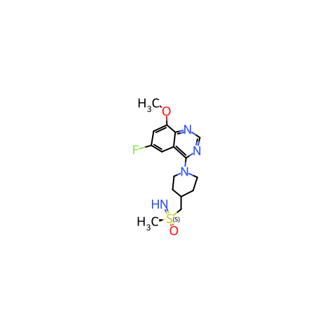 COc1cc(F)cc2c(N3CCC(C[S@@](C)(=N)=O)CC3)ncnc12